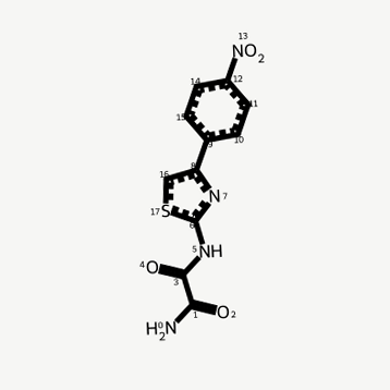 NC(=O)C(=O)Nc1nc(-c2ccc([N+](=O)[O-])cc2)cs1